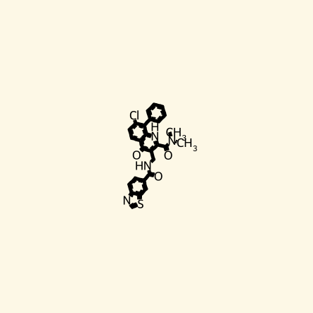 CN(C)C(=O)c1[nH]c2c(-c3ccccc3)c(Cl)ccc2c(=O)c1CNC(=O)c1ccc2ncsc2c1